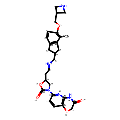 N#Cc1c(OCC2CNC2)ccc2c1CC(CNCCC1CN(c3ccc4c(n3)NC(=O)CO4)C(=O)O1)C2